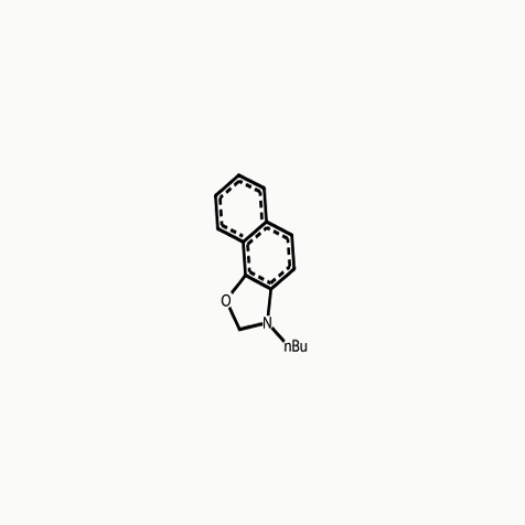 CCCCN1COc2c1ccc1ccccc21